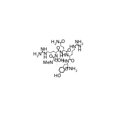 CN[C@H](C(=O)N[C@@H](CCCNC(=N)N)C(=O)N[C@@H](CCC(N)=O)C(=O)N[C@@H](CCCNC(=N)N)C(=O)N[C@](C)(Cc1ccc(O)cc1)C(N)=O)[C@@H](C)O